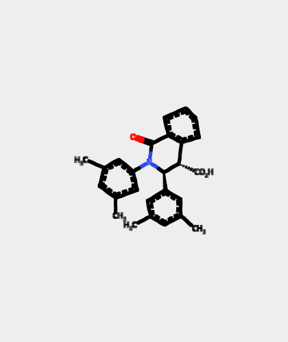 Cc1cc(C)cc([C@@H]2[C@@H](C(=O)O)c3ccccc3C(=O)N2c2cc(C)cc(C)c2)c1